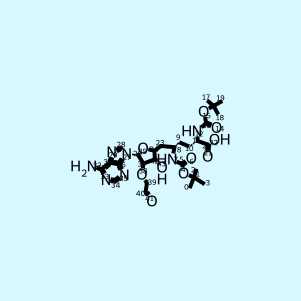 CC(C)(C)OC(=O)N[C@@H](CC[C@H](NC(=O)OC(C)(C)C)C(=O)O)CC1O[C@@H](n2cnc3c(N)ncnc32)C(OCC=O)C1O